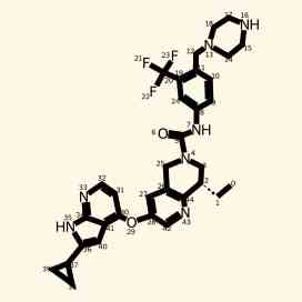 CC[C@H]1CN(C(=O)Nc2ccc(CN3CCNCC3)c(C(F)(F)F)c2)Cc2cc(Oc3ccnc4[nH]c(C5CC5)cc34)cnc21